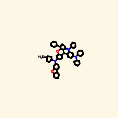 Cc1ccc(N(c2ccc3c(c2)Oc2c(-c4ccccc4)ccc4c2B3c2ccc(N(c3ccccc3)c3ccccc3)cc2N4c2ccccc2)c2ccc3c(c2)oc2ccccc23)cc1